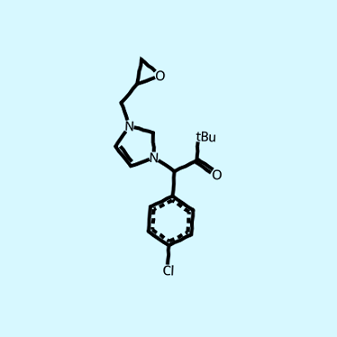 CC(C)(C)C(=O)C(c1ccc(Cl)cc1)N1C=CN(CC2CO2)C1